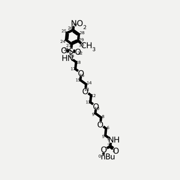 CCCCOC(=O)NCCOCCOCCOCCOCCNS(=O)(=O)c1ccc([N+](=O)[O-])cc1C